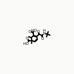 CC1C(C(=O)O)=C(C(=O)C(=O)NC(C)(C)C)C=CC1(C)C(=O)O